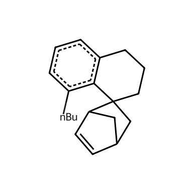 CCCCc1cccc2c1C1(CCC2)CC2C=CC1C2